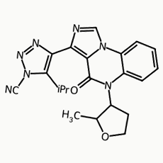 CC(C)c1c(-c2ncn3c2c(=O)n(C2CCOC2C)c2ccccc23)nnn1C#N